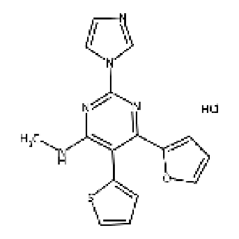 CNc1nc(-n2ccnc2)nc(-c2ccco2)c1-c1cccs1.Cl